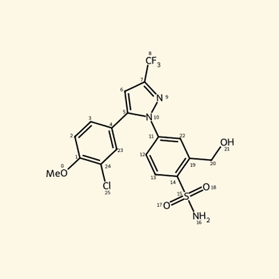 COc1ccc(-c2cc(C(F)(F)F)nn2-c2ccc(S(N)(=O)=O)c(CO)c2)cc1Cl